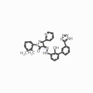 Cc1cccc(N2N=C(c3ccccn3)/C(=N/Nc3cccc(-c4cccc(-c5nnn[nH]5)c4)c3O)C2=O)c1C